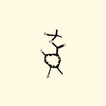 CCC(C)(C)OC(=O)c1cc(C)c(Br)cc1F